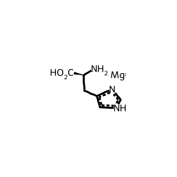 N[C@@H](Cc1c[nH]cn1)C(=O)O.[Mg]